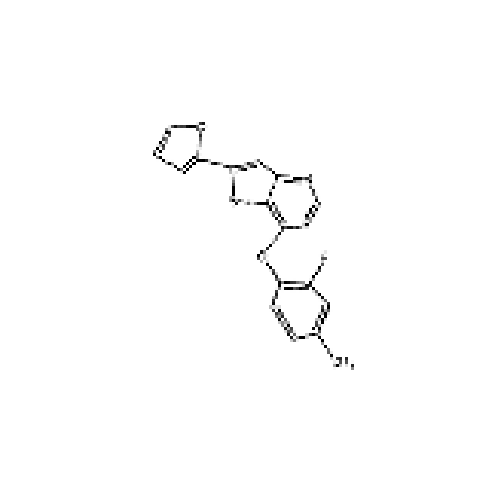 Nc1ccc(Oc2ccnc3cc(-c4ccco4)sc23)c(F)c1